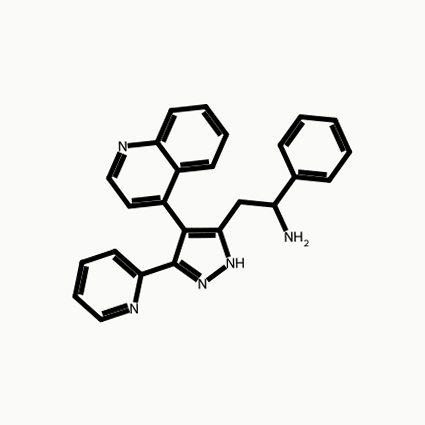 NC(Cc1[nH]nc(-c2ccccn2)c1-c1ccnc2ccccc12)c1ccccc1